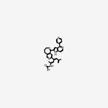 C=C(C)/C=C(\C=C(/C)NC(=O)C(C)C)c1cc2c(cn1)CCCN=C2c1cc2c(-c3ccncc3)nccc2[nH]1